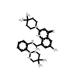 Cc1cc([C@@H](C)Nc2ccccc2B2OCC(C)(C)CO2)c2oc(N3CCC(C)(C)CC3)cc(=O)c2c1